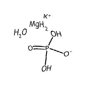 O.O=P([O-])(O)O.[K+].[MgH2]